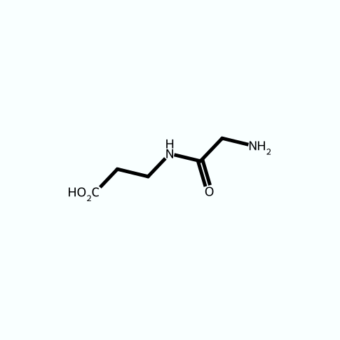 NCC(=O)NCCC(=O)O